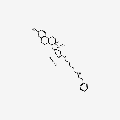 C[C@]12CCC3c4ccc(O)cc4CCC3C1C[C@@](CO)(CCOCCOCCNCCc1ccccn1)[C@@H]2O.[Cl][Pt][Cl]